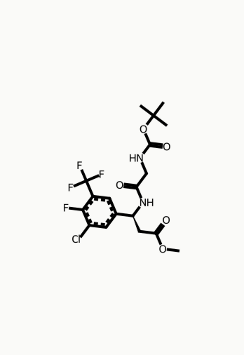 COC(=O)C[C@H](NC(=O)CNC(=O)OC(C)(C)C)c1cc(Cl)c(F)c(C(F)(F)F)c1